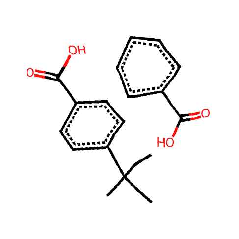 CC(C)(C)c1ccc(C(=O)O)cc1.O=C(O)c1ccccc1